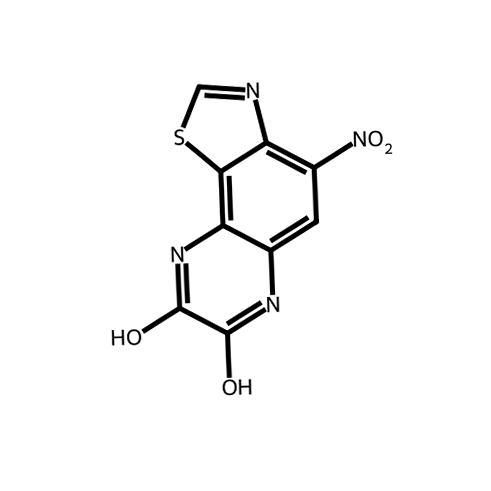 O=[N+]([O-])c1cc2nc(O)c(O)nc2c2scnc12